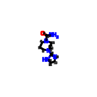 NC(=O)N1CCCN(C2=NCCN2)CC1